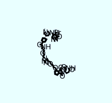 CN1C[C@H](Nc2cnn(C)c(=O)c2Br)C[C@H](c2ccc(C(=O)NCCOCCn3cc(COCCOc4cccc5c4C(=O)N(C4CCC(=O)NC4=O)C5=O)nn3)cc2)C1